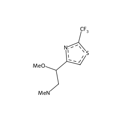 CNCC(OC)c1csc(C(F)(F)F)n1